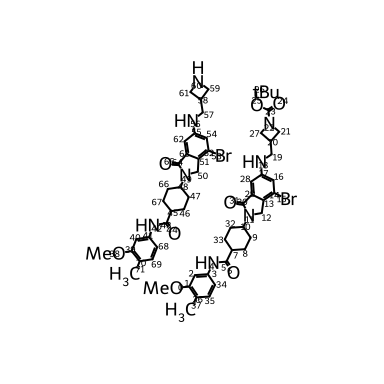 COc1cc(NC(=O)C2CCC(N3Cc4c(Br)cc(NCC5CN(C(=O)OC(C)(C)C)C5)cc4C3=O)CC2)ccc1C.COc1cc(NC(=O)C2CCC(N3Cc4c(Br)cc(NCC5CNC5)cc4C3=O)CC2)ccc1C